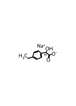 CCc1ccc([C@@H](O)C(=O)[O-])cc1.[Na+]